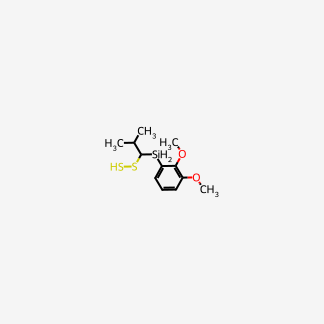 COc1cccc([SiH2]C(SS)C(C)C)c1OC